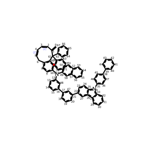 C=C1/C=C\C=C/Cc2ccc(N(c3cccc(-c4cccc(-c5ccc6c(c5)c5ccccc5n6-c5ccc(-c6ccccc6)cc5)c4)c3)c3ccc4ccccc4c3)cc2C1(c1ccccc1)c1ccccc1